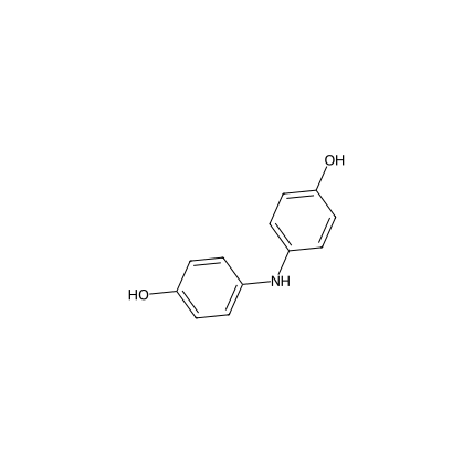 Oc1ccc(Nc2ccc(O)cc2)cc1